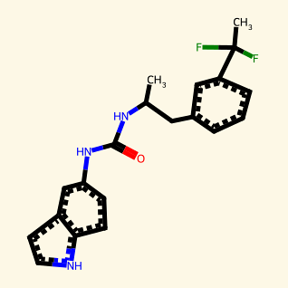 CC(Cc1cccc(C(C)(F)F)c1)NC(=O)Nc1ccc2[nH]ccc2c1